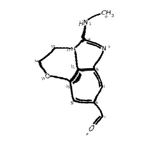 CNc1nc2cc(C=O)cc3c2n1CCO3